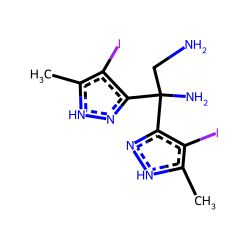 Cc1[nH]nc(C(N)(CN)c2n[nH]c(C)c2I)c1I